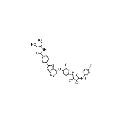 O=C(NC(CO)CO)c1ccc(-c2cc3nccc(Oc4ccc(NC(=O)C5(C(=O)Nc6ccc(F)cc6)CC5)cc4F)c3s2)cc1